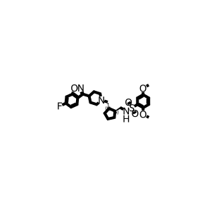 COc1ccc(OC)c(S(=O)(=O)NC[C@H]2CCC[C@@H]2CN2CCC(c3noc4cc(F)ccc34)CC2)c1